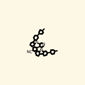 Cc1ccc(-c2ccc3c4ccccc4n(-c4cncc(-n5c6ccccc6c6ccc(-c7ccc(C)cc7)cc65)c4-c4ccc(C#N)cc4)c3c2)cc1